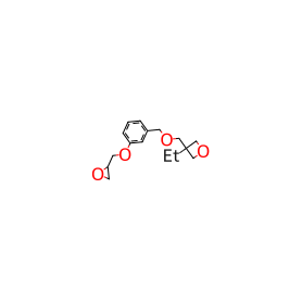 CCC1(COCc2cccc(OCC3CO3)c2)COC1